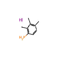 Cc1ccc(P)c(C)c1C.I